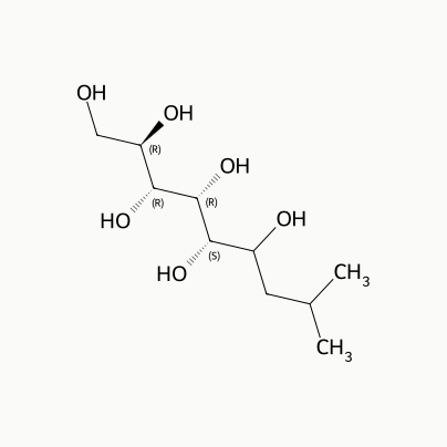 CC(C)CC(O)[C@H](O)[C@@H](O)[C@H](O)[C@H](O)CO